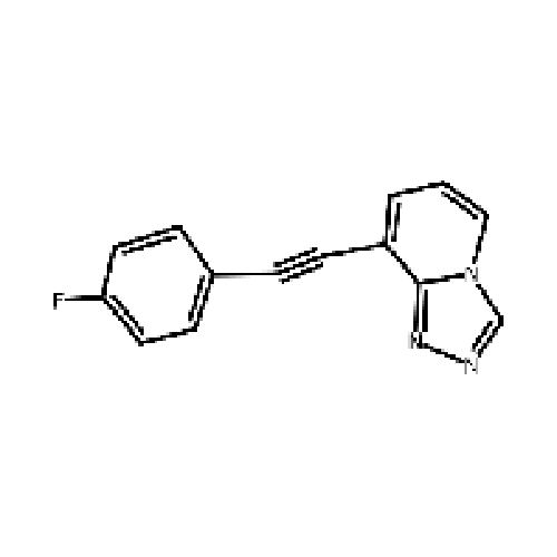 Fc1ccc(C#Cc2cccn3cnnc23)cc1